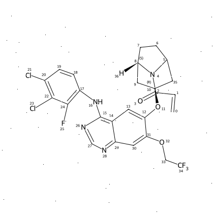 C=CC(=O)N1C2CC[C@H]1C[C@H](Oc1cc3c(Nc4ccc(Cl)c(Cl)c4F)ncnc3cc1OCC(F)(F)F)C2